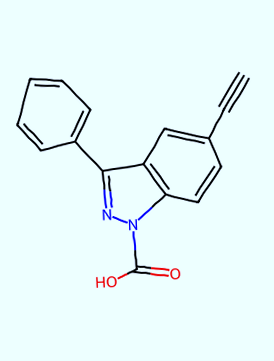 C#Cc1ccc2c(c1)c(-c1ccccc1)nn2C(=O)O